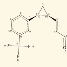 O=CC=C[C@@H]1C[C@@H]1c1cccc(C(F)(F)F)c1